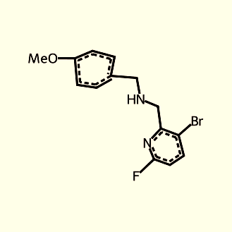 COc1ccc(CNCc2nc(F)ccc2Br)cc1